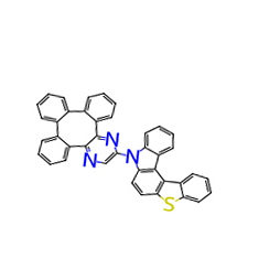 c1ccc2c(c1)-c1ccccc1-c1ncc(-n3c4ccccc4c4c5c(ccc43)sc3ccccc35)nc1-c1ccccc1-2